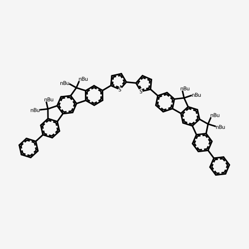 CCCCC1(CCCC)c2cc(-c3ccccc3)ccc2-c2cc3c(cc21)C(CCCC)(CCCC)c1cc(-c2ccc(-c4ccc(-c5ccc6c(c5)C(CCCC)(CCCC)c5cc7c(cc5-6)-c5ccc(-c6ccccc6)cc5C7(CCCC)CCCC)s4)s2)ccc1-3